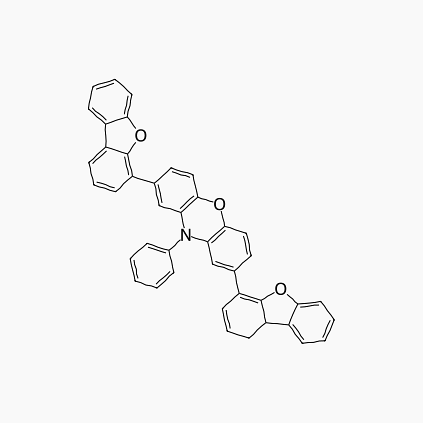 C1=CC(c2ccc3c(c2)N(c2ccccc2)c2cc(-c4cccc5c4oc4ccccc45)ccc2O3)=C2Oc3ccccc3C2C1